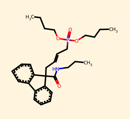 CCCCOP(=O)(C/C=C/CC1(C(=O)NCCC)c2ccccc2-c2ccccc21)OCCCC